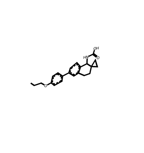 CCCOc1ccc(-c2ccc3c(c2)CCC2(CC2)C3NC(=O)O)cc1